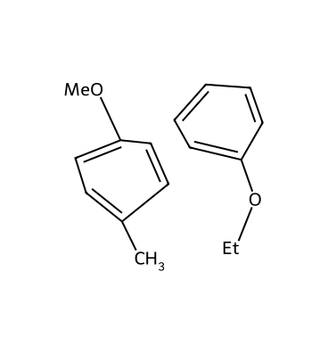 CCOc1ccccc1.COc1ccc(C)cc1